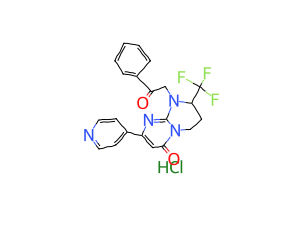 Cl.O=C(CN1c2nc(-c3ccncc3)cc(=O)n2CCC1C(F)(F)F)c1ccccc1